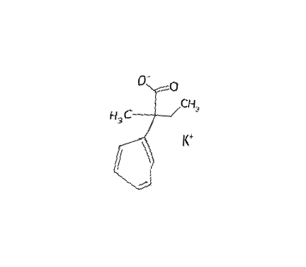 CCC(C)(C(=O)[O-])c1ccccc1.[K+]